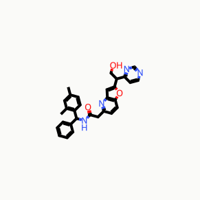 Cc1ccc(C(NC(=O)Cc2ccc3oc(C(CO)c4ccncn4)cc3n2)c2ccccc2)c(C)c1